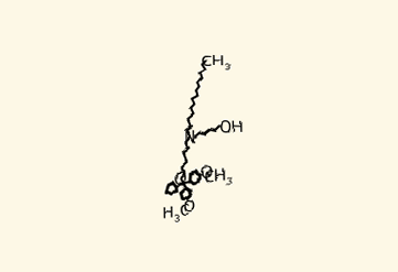 CCCCCCCCCCCCCCCCN(CCCCCCO)CCCCCCOC(c1ccccc1)(c1ccc(OC)cc1)c1ccc(OC)cc1